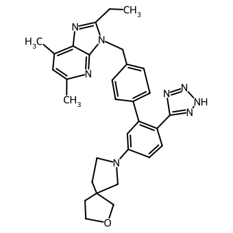 CCc1nc2c(C)cc(C)nc2n1Cc1ccc(-c2cc(N3CCC4(CCOC4)C3)ccc2-c2nn[nH]n2)cc1